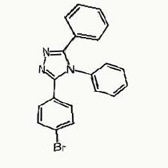 Brc1ccc(-c2nnc(-c3ccccc3)n2-c2ccccc2)cc1